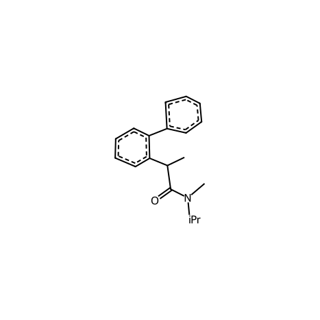 CC(C(=O)N(C)C(C)C)c1ccccc1-c1ccccc1